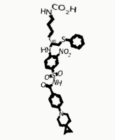 O=C(O)NCCCC[C@H](CSc1ccccc1)Nc1ccc(S(=O)(=O)NC(=O)c2ccc(N3CCC4(CC3)CC4)cc2)cc1[N+](=O)[O-]